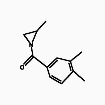 Cc1ccc(C(=O)N2CC2C)cc1C